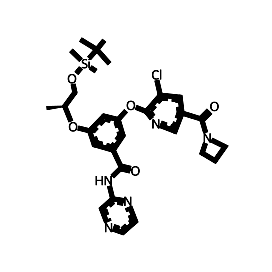 C[C@@H](CO[Si](C)(C)C(C)(C)C)Oc1cc(Oc2ncc(C(=O)N3CCC3)cc2Cl)cc(C(=O)Nc2cnccn2)c1